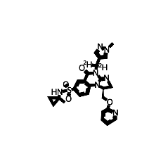 [2H]C([2H])(c1cnn(C)c1)N1C(=O)c2cc(S(=O)(=O)NC3(C)CC3)ccc2N2C1=NC[C@H]2COc1ccccn1